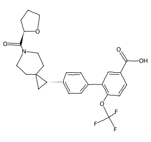 O=C(O)c1ccc(OC(F)(F)F)c(-c2ccc([C@@H]3CC34CCN(C(=O)[C@H]3CCCO3)CC4)cc2)c1